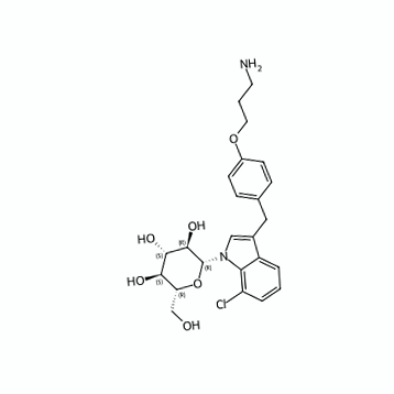 NCCCOc1ccc(Cc2cn([C@@H]3O[C@H](CO)[C@@H](O)[C@H](O)[C@H]3O)c3c(Cl)cccc23)cc1